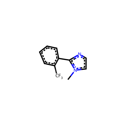 Cn1ccnc1-c1ccccc1C(F)(F)F